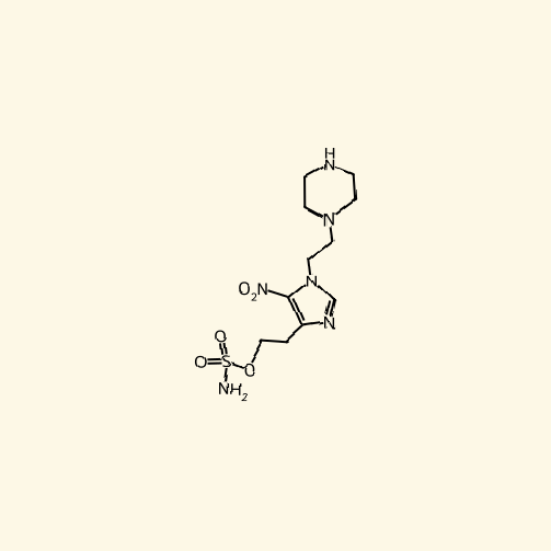 NS(=O)(=O)OCCc1ncn(CCN2CCNCC2)c1[N+](=O)[O-]